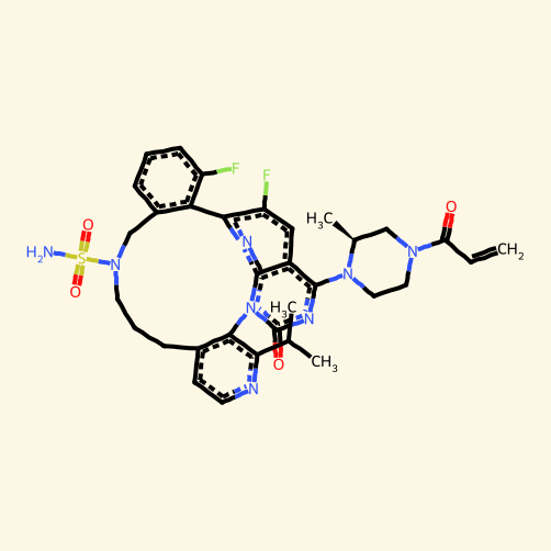 C=CC(=O)N1CCN(c2nc(=O)n3c4nc(c(F)cc24)-c2c(F)cccc2CN(S(N)(=O)=O)CCCc2ccnc(C(C)C)c2-3)[C@@H](C)C1